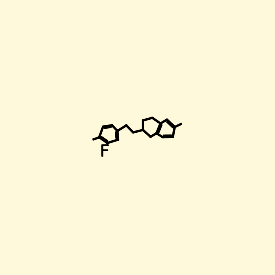 Cc1ccc2c(c1)CCC(CCc1ccc(C)c(F)c1)C2